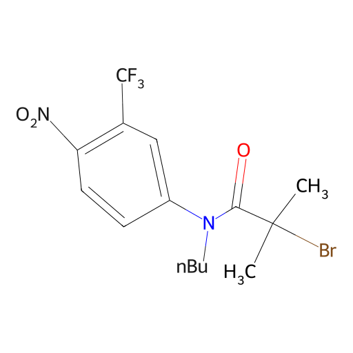 CCCCN(C(=O)C(C)(C)Br)c1ccc([N+](=O)[O-])c(C(F)(F)F)c1